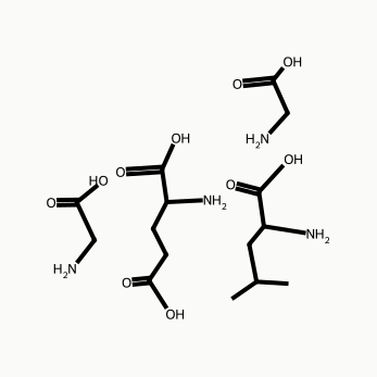 CC(C)CC(N)C(=O)O.NC(CCC(=O)O)C(=O)O.NCC(=O)O.NCC(=O)O